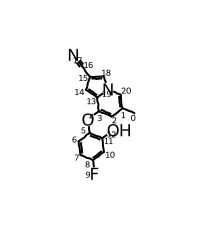 Cc1cc(Oc2ccc(F)cc2O)c2cc(C#N)cn2c1